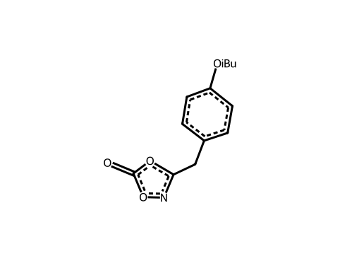 CC(C)COc1ccc(Cc2noc(=O)o2)cc1